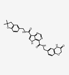 CC1(C)Cc2cc(CNC(=O)c3c[nH]c4c(C(=O)NCc5ccc6c(c5)NC(=O)CO6)ncnc34)ccc2O1